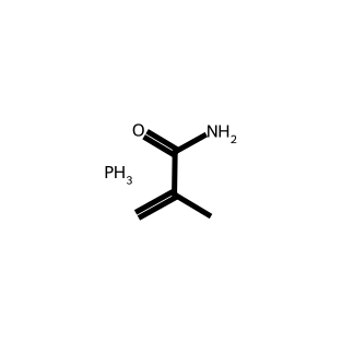 C=C(C)C(N)=O.P